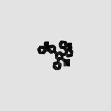 N#Cc1c(-c2ccccc2)cc(-c2ccc3sc4ccccc4c3c2)cc1-c1cccc2sc3ccccc3c12